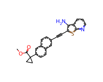 COC(=O)C1(c2ccc3cc(C#Cc4sc5ncccc5c4N)ccc3c2)CC1